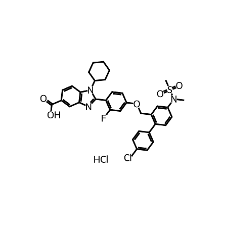 CN(c1ccc(-c2ccc(Cl)cc2)c(COc2ccc(-c3nc4cc(C(=O)O)ccc4n3C3CCCCC3)c(F)c2)c1)S(C)(=O)=O.Cl